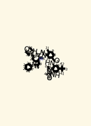 COc1c(NC(=O)c2ccc(C)c(N(N)/C=C(\N)c3cnn(-c4ccccc4)c3CCN3CCOCC3)c2)cc(C(C)(C)C)cc1NS(C)(=O)=O